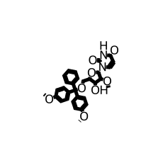 COc1ccc(C(OCC2OC(n3c#cc(=O)[nH]c3=O)C(OC)C2O)(c2ccccc2)c2ccc(OC)cc2)cc1